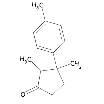 Cc1ccc(C2(C)CCC(=O)C2C)cc1